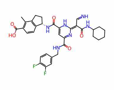 Cc1c(C(=O)O)ccc2c1CC[C@@H]2NC(=O)C1=CC(C(=O)NCc2ccc(F)c(F)c2)=N/C(=C(/C=N)C(=O)NC2CCCCC2)N1